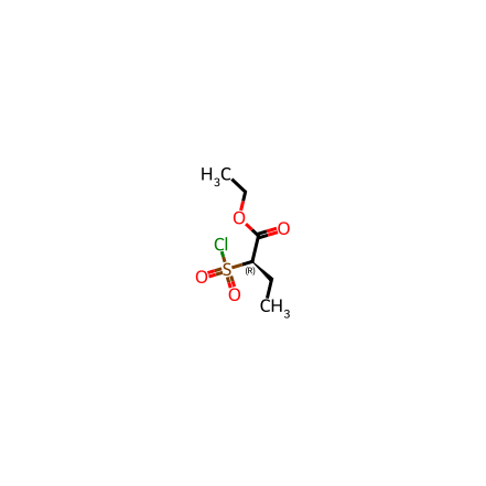 CCOC(=O)[C@@H](CC)S(=O)(=O)Cl